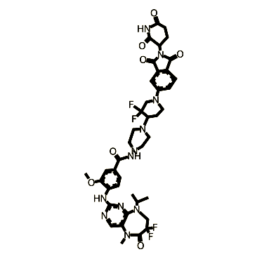 COc1cc(C(=O)NN2CCN(C3CCN(c4ccc5c(c4)C(=O)N(C4CCC(=O)NC4=O)C5=O)CC3(F)F)CC2)ccc1Nc1ncc2c(n1)N(C(C)C)CC(F)(F)C(=O)N2C